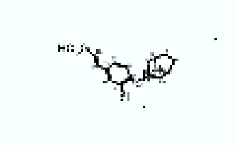 CN1C2CCC1CC(Sc1ccc(C=CC(=O)O)cc1Cl)C2